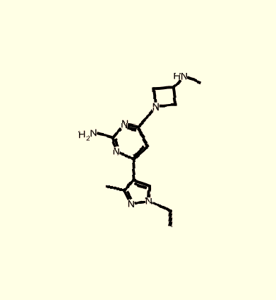 CCn1cc(-c2cc(N3CC(NC)C3)nc(N)n2)c(C)n1